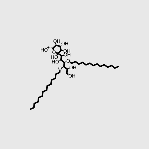 CCCCCCCCCCCCCCO[C@@H]([C@H](OCCCCCCCCCCCCCC)[C@H](O)C(O)C1(O)O[C@H](CO)[C@@H](O)[C@H](O)[C@H]1O)[C@H](O)CO